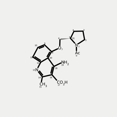 CC(=O)N1CCC[C@H]1COc1cccc2nc(C)c(C(=O)O)c(N)c12